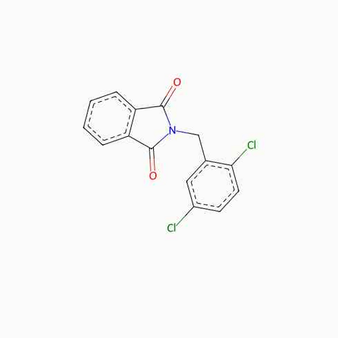 O=C1c2ccccc2C(=O)N1Cc1cc(Cl)ccc1Cl